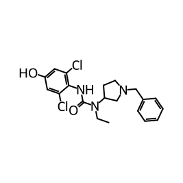 CCN(C(=O)Nc1c(Cl)cc(O)cc1Cl)C1CCN(Cc2ccccc2)C1